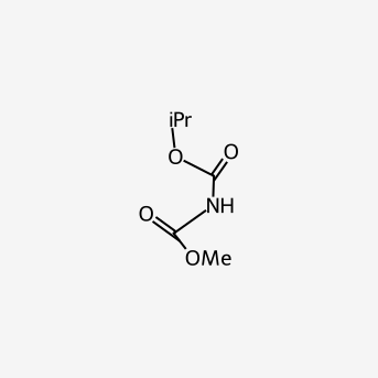 COC(=O)NC(=O)OC(C)C